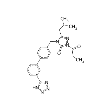 CCC(=O)n1nc(CC(C)C)n(Cc2ccc(-c3cccc(-c4nnn[nH]4)c3)cc2)c1=O